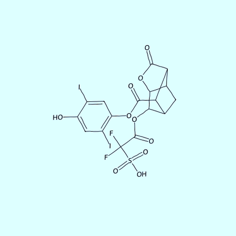 O=C1OC2C3CC(C2OC(=O)C(F)(F)S(=O)(=O)O)C(C(=O)Oc2cc(I)c(O)cc2I)C13